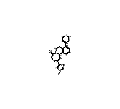 Cn1cnc(C2=NCC(=O)N3CCc4c(cccc4-c4ccncc4)C3=C2)c1